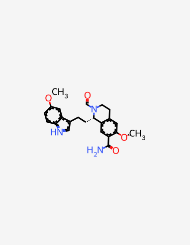 COc1ccc2[nH]cc(CC[C@H]3c4cc(C(N)=O)c(OC)cc4CCN3C=O)c2c1